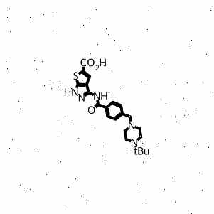 CC(C)(C)N1CCN(Cc2ccc(C(=O)Nc3n[nH]c4sc(C(=O)O)cc34)cc2)CC1